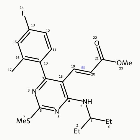 CCC(CC)Nc1nc(SC)nc(-c2ccc(F)cc2C)c1/C=C/C(=O)OC